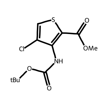 COC(=O)c1scc(Cl)c1NC(=O)OC(C)(C)C